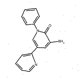 Bc1cc(-c2ccccn2)cn(-c2ccccc2)c1=O